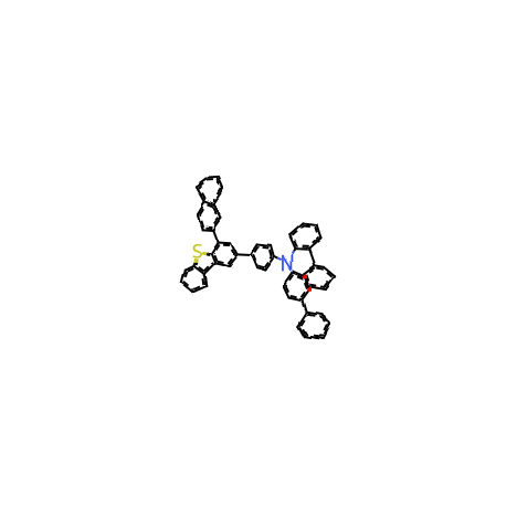 c1ccc(-c2ccc(N(c3ccc(-c4cc(-c5ccc6ccccc6c5)c5sc6ccccc6c5c4)cc3)c3ccccc3-c3ccccc3)cc2)cc1